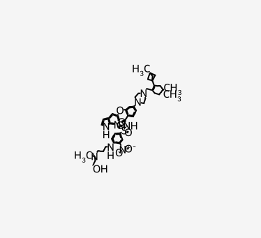 CN(CCO)CCCNc1ccc(S(=O)(=O)NC(=O)c2ccc(N3CCN(CC4=C(C56CC(C)(C5)C6)CC(C)(C)CC4)CC3)cc2Oc2cnc3[nH]ccc3c2)cc1[N+](=O)[O-]